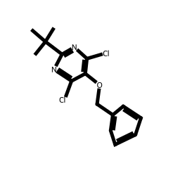 CC(C)(C)c1nc(Cl)c(OCc2ccccc2)c(Cl)n1